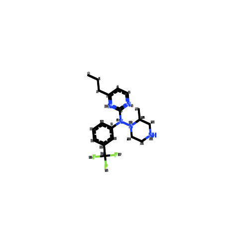 CCCc1ccnc(N(c2cccc(C(F)(F)F)c2)N2CCNCC2C)n1